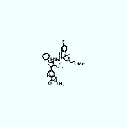 COCCN1C[C@@H](NC(=O)Nc2c(C)c(-c3cnc4c(c3)CN(C)C4=O)nn2-c2ccccc2)[C@H](c2ccc(F)cc2)O1